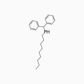 CCCCCCCCCPC(c1ccccc1)c1ccccc1